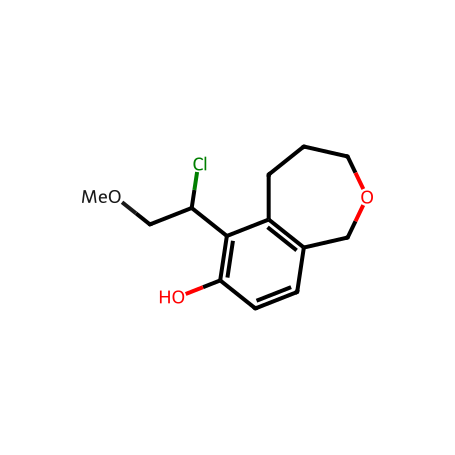 COCC(Cl)c1c(O)ccc2c1CCCOC2